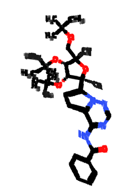 CC(C)(C)[Si](C)(C)O[C@@H]1[C@H](O[Si](C)(C)C(C)(C)C)C(C#N)(CO[Si](C)(C)C)O[C@@]1(C#N)c1ccc2c(NC(=O)c3ccccc3)ncnn12